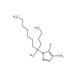 CCCCCCCC(C)(CCCC)n1ncc(C)c1F